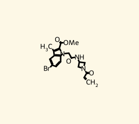 C=CC(=O)N1CC(NC(=O)Cn2c(C(=O)OC)c(C)c3cc(Br)ccc32)C1